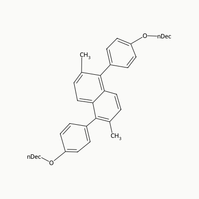 CCCCCCCCCCOc1ccc(-c2c(C)ccc3c(-c4ccc(OCCCCCCCCCC)cc4)c(C)ccc23)cc1